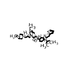 CCC(CC)n1c(Cc2cccs2)nc2cc(C(=O)N[C@@H](CC(C)C)C(=O)NCCCN3CCN(C)CC3)ccc21